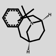 CC(C)(C)N1C[C@H]2CC[C@@H]1Cc1ccccc1C2